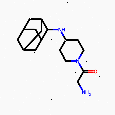 NCC(=O)N1CCC(NC2C3CC4CC(C3)CC2C4)CC1